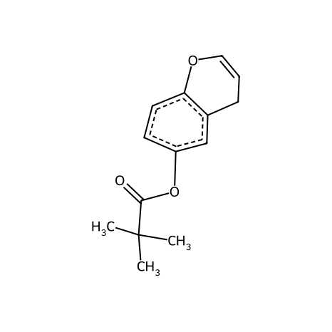 CC(C)(C)C(=O)Oc1ccc2c(c1)CC=CO2